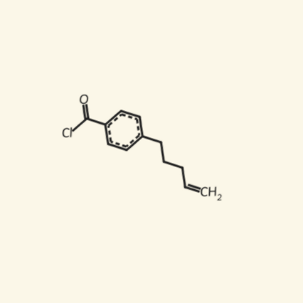 C=CCCCc1ccc(C(=O)Cl)cc1